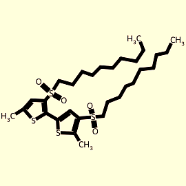 CCCCCCCCCCS(=O)(=O)c1cc(-c2sc(C)cc2S(=O)(=O)CCCCCCCCCC)sc1C